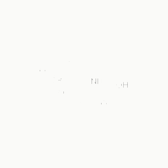 O=C(O)NC12CC3CC(C1)OC(=O)C(C3)C2